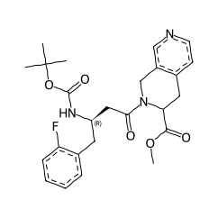 COC(=O)C1Cc2ccncc2CN1C(=O)C[C@@H](Cc1ccccc1F)NC(=O)OC(C)(C)C